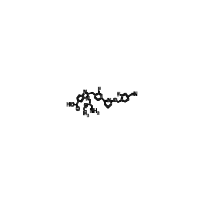 COC(CN)Cn1c(Cc2ccc(-c3cccc(OCc4ccc(C#N)cc4F)n3)cc2F)nc2ccc(C(=O)O)cc21